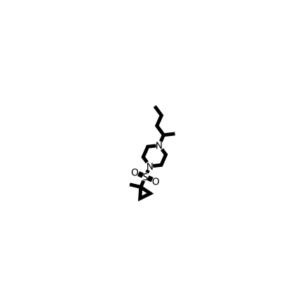 CCCC(C)N1CCN(S(=O)(=O)C2(C)CC2)CC1